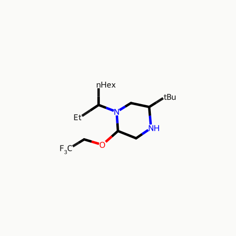 CCCCCCC(CC)N1CC(C(C)(C)C)NCC1OCC(F)(F)F